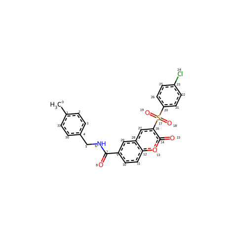 Cc1ccc(CNC(=O)c2ccc3oc(=O)c(S(=O)(=O)c4ccc(Cl)cc4)cc3c2)cc1